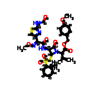 C=C(C)C(C(=O)OCc1ccc(OC)cc1)N1C(=O)C(NC(=O)C(=NOC)c2csc(NC=O)n2)C1SS(=O)(=O)c1ccccc1C